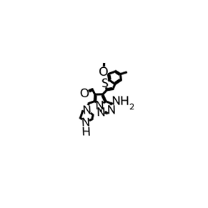 COc1cc(C)cc2cc(-c3c(C=O)c(CN4CCNCC4)n4ncnc(N)c34)sc12